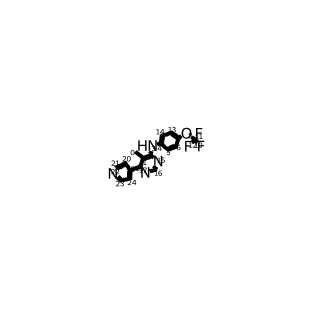 Cc1c(Nc2ccc(OC(F)(F)F)cc2)ncnc1-c1ccncc1